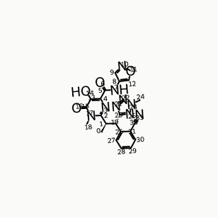 C[C@@H](c1nc(C(=O)Nc2cnoc2)c(O)c(=O)n1C)[C@H](c1nnn(C)n1)c1ccccc1C#N